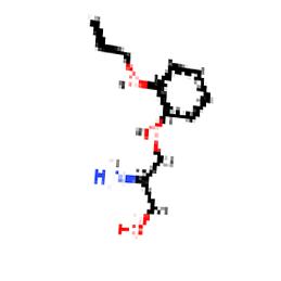 C=CCOc1ccccc1OCC(N)CO